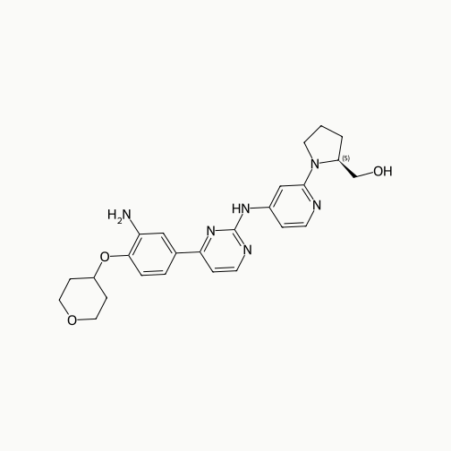 Nc1cc(-c2ccnc(Nc3ccnc(N4CCC[C@H]4CO)c3)n2)ccc1OC1CCOCC1